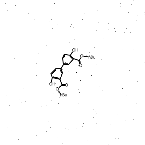 CCCCOC(=O)c1cc(-c2ccc(O)c(C(=O)OCCCC)c2)ccc1O